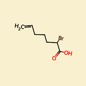 C=CCCCC(Br)C(=O)O